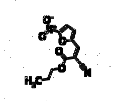 CCCOC(=O)C(C#N)=Cc1ccc([N+](=O)[O-])o1